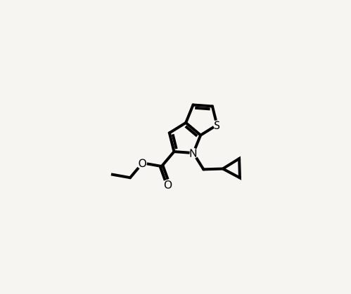 CCOC(=O)c1cc2ccsc2n1CC1CC1